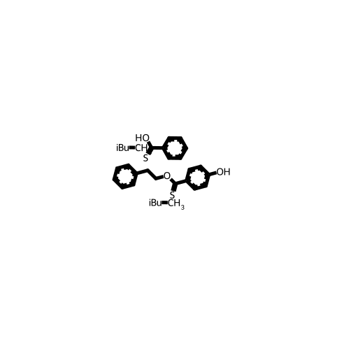 CCC(C)C.CCC(C)C.OC(=S)c1ccccc1.Oc1ccc(C(=S)OCCc2ccccc2)cc1